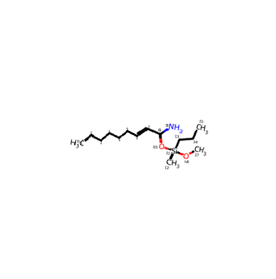 CCCCCCC=CC(N)O[Si](C)(CCC)OC